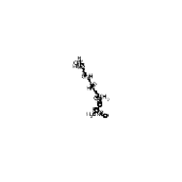 Cc1ncc(-c2ccc3nc(N(C)C(=O)CCCCCNC(=O)CCCCCNC(=O)CCCC[C@@H]4SC[C@@H]5NC(=O)N[C@@H]54)sc3c2)cc1NC(=O)Cc1ccccc1